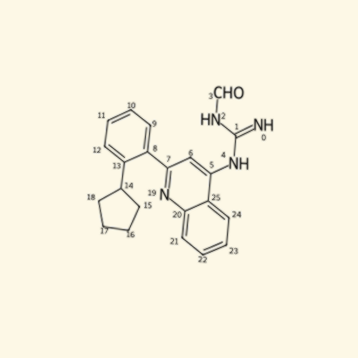 N=C(NC=O)Nc1cc(-c2ccccc2C2CCCC2)nc2ccccc12